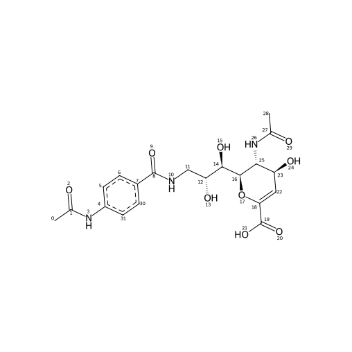 CC(=O)Nc1ccc(C(=O)NC[C@@H](O)[C@@H](O)[C@@H]2OC(C(=O)O)=C[C@H](O)[C@H]2NC(C)=O)cc1